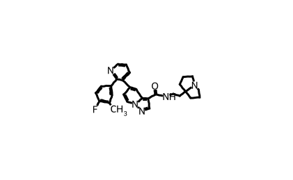 Cc1cc(-c2ncccc2-c2ccn3ncc(C(=O)NCCC45CCCN4CCC5)c3c2)ccc1F